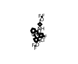 NC(=O)c1ccc(OC(F)F)c(F)c1-c1c(Cl)c(F)cc2c1C[C@@](CN[C@H]1C[C@H](COC(F)F)C1)(c1ccccc1)O2